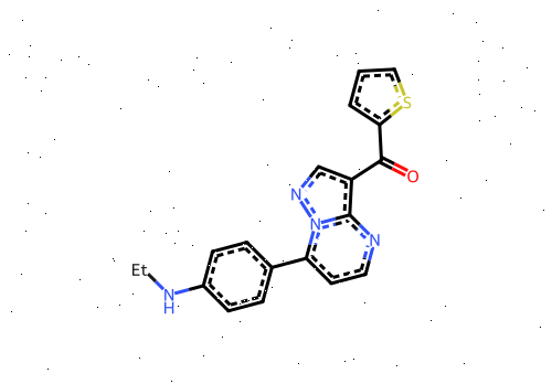 CCNc1ccc(-c2ccnc3c(C(=O)c4cccs4)cnn23)cc1